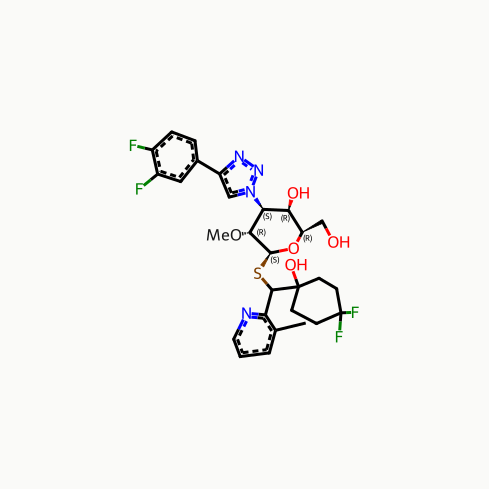 CO[C@@H]1[C@@H](n2cc(-c3ccc(F)c(F)c3)nn2)[C@@H](O)[C@@H](CO)O[C@H]1SC(c1ncccc1C)C1(O)CCC(F)(F)CC1